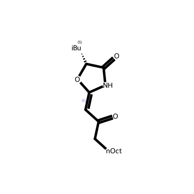 CCCCCCCCCC(=O)/C=C1\NC(=O)C([C@@H](C)CC)O1